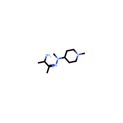 C/C(=N/N(C)C1CCN(C)CC1)C(C)N